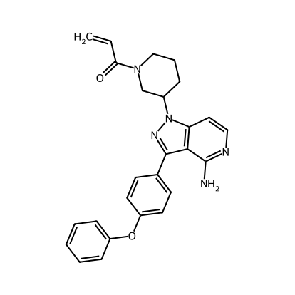 C=CC(=O)N1CCCC(n2nc(-c3ccc(Oc4ccccc4)cc3)c3c(N)nccc32)C1